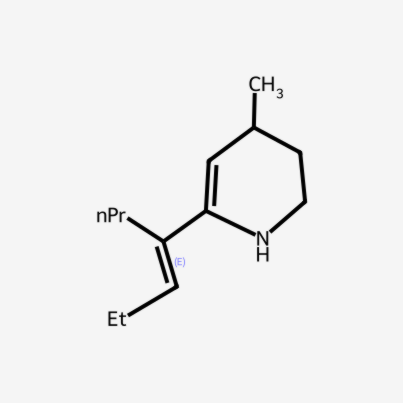 CC/C=C(\CCC)C1=CC(C)CCN1